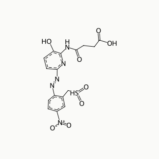 O=C(O)CCC(=O)Nc1nc(N=Nc2ccc([N+](=O)[O-])cc2C[SH](=O)=O)ccc1O